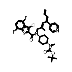 C=C/C=C(\C=C(/C)CN(C(=O)c1sc2c(F)ccc(F)c2c1Cl)[C@H]1CC[C@H](N(C)C(=O)OC(C)(C)C)CC1)c1ccncc1